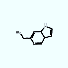 CC(C)(C)CC1=CC2NC=CC2C=N1